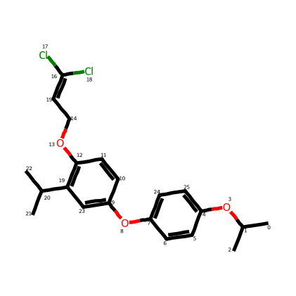 CC(C)Oc1ccc(Oc2ccc(OCC=C(Cl)Cl)c(C(C)C)c2)cc1